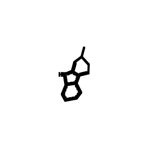 CC1C=c2[nH]c3ccccc3c2=CC1